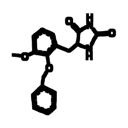 COc1cccc(CC2NC(=O)NC2=O)c1OCc1ccccc1